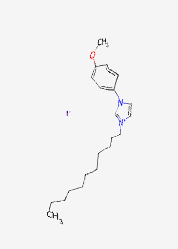 CCCCCCCCCCC[n+]1ccn(-c2ccc(OC)cc2)c1.[I-]